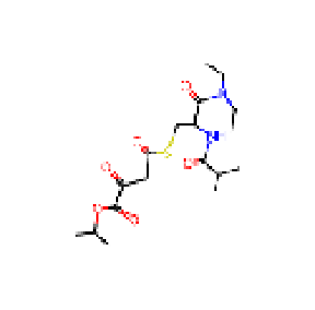 CCN(CC)C(=O)C(CSC(=O)CC(=O)C(=O)OC(C)C)NC(=O)C(C)C